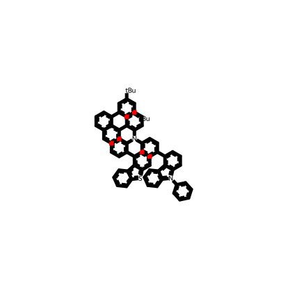 CC(C)(C)c1cc(-c2cccc3cccc(-c4ccccc4N(c4ccc(-c5cccc6c5c5ccccc5n6-c5ccccc5)cc4)c4ccccc4-c4cccc5sc6ccccc6c45)c23)cc(C(C)(C)C)c1